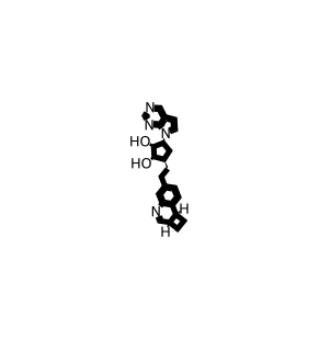 O[C@@H]1[C@@H](CCc2ccc3c(c2)N=C[C@@H]2CC[C@H]32)C[C@@H](n2ccc3cncnc32)[C@@H]1O